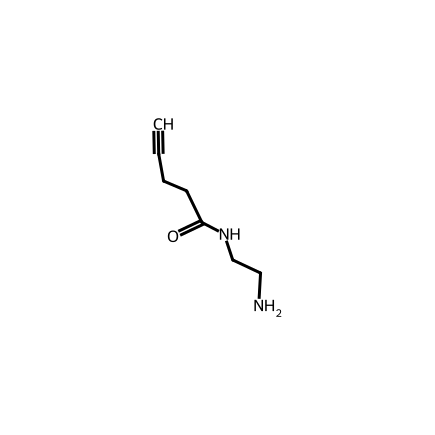 C#CCCC(=O)NCCN